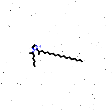 CCCCCCCCCCCCCCCCC(C)c1[nH]cc[n+]1C(C)CCCCC